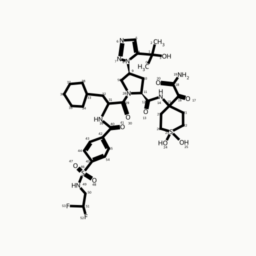 CC(C)(O)c1cnnn1[C@H]1C[C@@H](C(=O)NC2(C(=O)C(N)=O)CCS(O)(O)CC2)N(C(=O)C(CC2CCCCC2)NC(=O)c2ccc(S(=O)(=O)NCC(F)F)cc2)C1